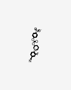 N#Cc1ccc(N2CCCC(OC(=O)Oc3ccc([N+](=O)[O-])cc3)C2)c(F)c1